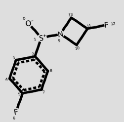 [O-][S+](c1ccc(F)cc1)N1CC(F)C1